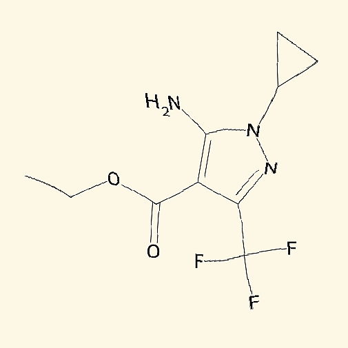 CCOC(=O)c1c(C(F)(F)F)nn(C2CC2)c1N